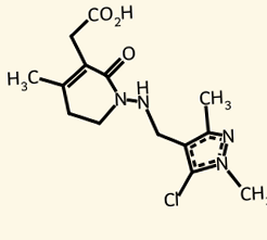 CC1=C(CC(=O)O)C(=O)N(NCc2c(C)nn(C)c2Cl)CC1